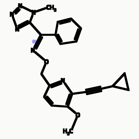 COc1ccc(CO/N=C(\c2ccccc2)c2nnnn2C)nc1C#CC1CC1